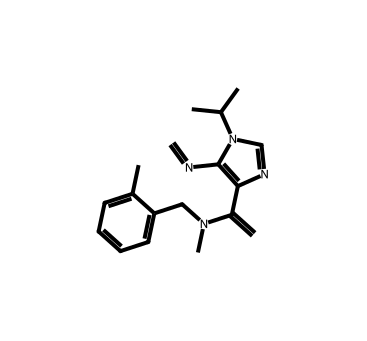 C=Nc1c(C(=C)N(C)Cc2ccccc2C)ncn1C(C)C